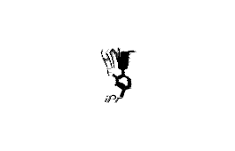 CC(=N)c1ccc(C(C)C)cc1F